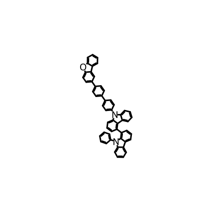 c1ccc(-n2c3ccccc3c3cccc(-c4cccc5c4c4ccccc4n5-c4ccc(-c5ccc(-c6ccc7oc8ccccc8c7c6)cc5)cc4)c32)cc1